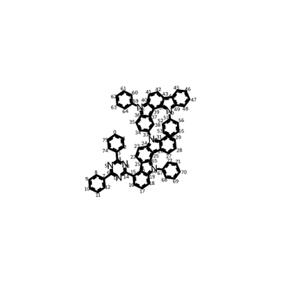 c1ccc(-c2nc(-c3ccccc3)nc(-c3cccc4c3c3ccc5c(c6ccccc6n5-c5ccc6c(c5)c5c(ccc7c8ccccc8n(-c8ccccc8)c75)n6-c5ccccc5)c3n4-c3ccccc3)n2)cc1